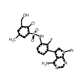 Cc1cc(CO)c(Cl)c(S(=O)(=O)Nc2cccc(-c3cn(C(C)C)c4ncnc(N)c34)c2F)c1